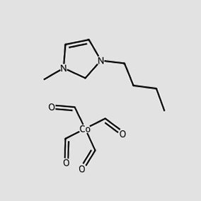 CCCCN1C=CN(C)C1.O=[CH][Co]([CH]=O)([CH]=O)[CH]=O